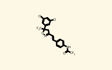 O=C(Nc1ccc(/C=C/C2=NOC(c3cc(Cl)cc(Cl)c3)(C(F)(F)F)C2)cc1)C(F)(F)F